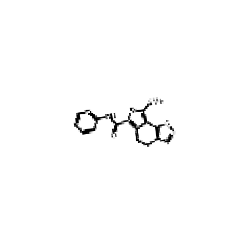 CSc1sc(C(=O)Nc2ccccc2)c2c1-c1sncc1CC2